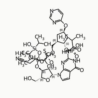 CC(C)C(=O)Nc1nc2c(ccn2[C@@H]2O[C@H](CO)[C@@H](O[Si](O[Si](O)(C(C)C)C(C)C)(C(C)C)C(C)C)[C@@H]2OP(=S)(OCCC#N)OC[C@H]2C[C@@H](Oc3ccncn3)C[C@@H]2O[PH](=O)O)c(=O)[nH]1